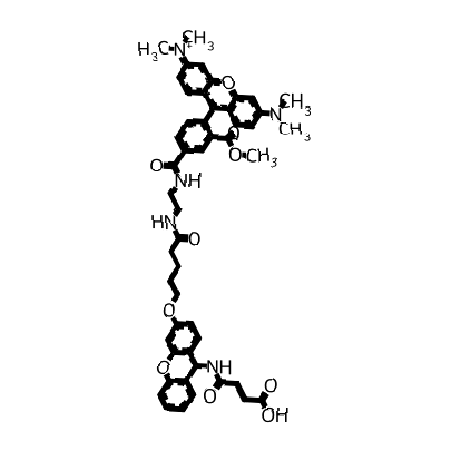 COC(=O)c1cc(C(=O)NCCNC(=O)CCCCOc2ccc3c(c2)Oc2ccccc2C3NC(=O)CCC(=O)O)ccc1-c1c2ccc(=[N+](C)C)cc-2oc2cc(N(C)C)ccc12